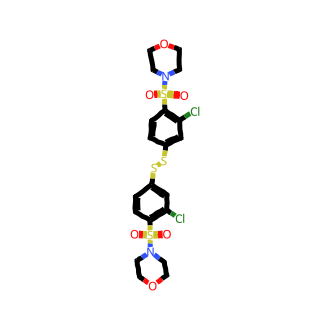 O=S(=O)(c1ccc(SSc2ccc(S(=O)(=O)N3CCOCC3)c(Cl)c2)cc1Cl)N1CCOCC1